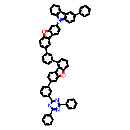 c1ccc(-c2ccc3c(c2)c2ccccc2n3-c2ccc3c(c2)oc2ccc(-c4cccc(-c5cccc6oc7cc(-c8cccc(-c9nc(-c%10ccccc%10)nc(-c%10ccccc%10)n9)c8)ccc7c56)c4)cc23)cc1